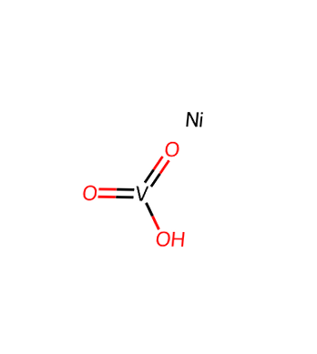 [Ni].[O]=[V](=[O])[OH]